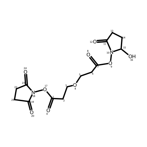 O=C(CCOCCC(=O)ON1C(=O)CCC1O)ON1C(=O)CCC1=O